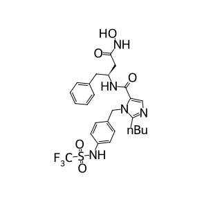 CCCCc1ncc(C(=O)N[C@H](CC(=O)NO)Cc2ccccc2)n1Cc1ccc(NS(=O)(=O)C(F)(F)F)cc1